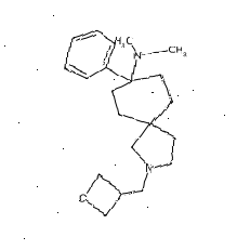 CN(C)C1(c2ccccc2)CCC2(CCN(CC3COC3)C2)CC1